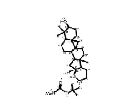 CNC(=O)OC(C)(C)C[C@H]1CCC2[C@@H](CC3C4CCC5C(C)(C)C(O)CCC56CC46CCC32C)O1